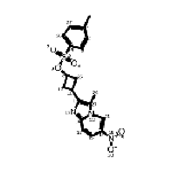 Cc1ccc(S(=O)(=O)OC2CC(c3nc4ccc([N+](=O)[O-])cn4c3C)C2)cc1